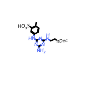 CCCCCCCCCCCCNc1nc(N)nc(Nc2ccc(C)c(S(=O)(=O)O)c2)n1